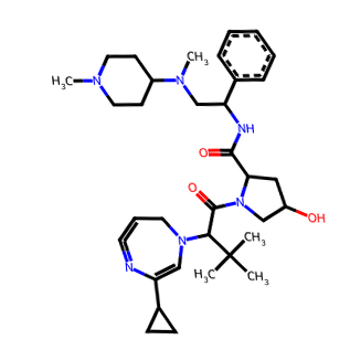 CN1CCC(N(C)CC(NC(=O)C2CC(O)CN2C(=O)C(N2C=C(C3CC3)N=C=CC2)C(C)(C)C)c2ccccc2)CC1